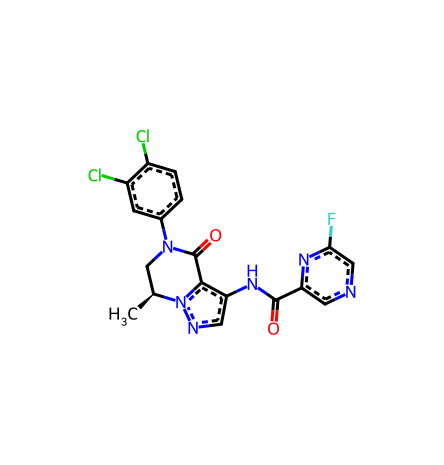 C[C@H]1CN(c2ccc(Cl)c(Cl)c2)C(=O)c2c(NC(=O)c3cncc(F)n3)cnn21